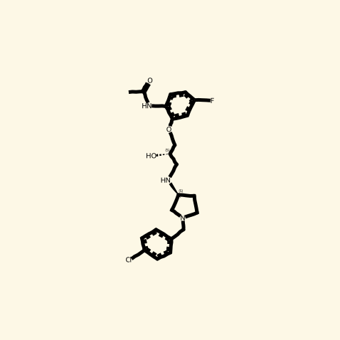 CC(=O)Nc1ccc(F)cc1OC[C@@H](O)CN[C@H]1CCN(Cc2ccc(Cl)cc2)C1